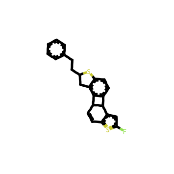 Fc1cc2c(s1)C=CC1c3c(ccc4c3CC(CCc3ccccc3)S4)C21